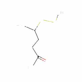 CSSC(C)CCC(C)=O